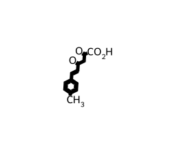 Cc1ccc(C=CC(=O)CC(=O)C(=O)O)cc1